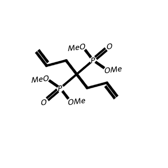 C=CCC(CC=C)(P(=O)(OC)OC)P(=O)(OC)OC